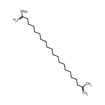 C=C(C)CCCCCCCCCCCCCCCCCCC(=C)NC